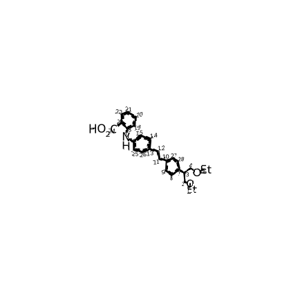 CCOCC(COCC)c1ccc(CCc2ccc(Nc3ccccc3C(=O)O)cc2)cc1